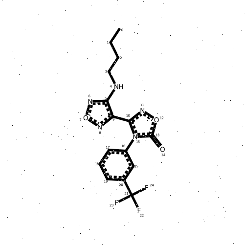 CCCCNc1nonc1-c1noc(=O)n1-c1cccc(C(F)(F)F)c1